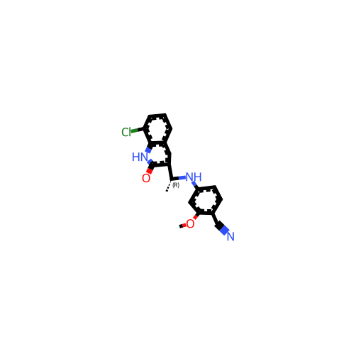 COc1cc(N[C@H](C)c2cc3cccc(Cl)c3[nH]c2=O)ccc1C#N